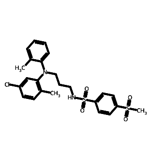 Cc1ccccc1N(CCCNS(=O)(=O)c1ccc(S(C)(=O)=O)cc1)c1cc(Cl)ccc1C